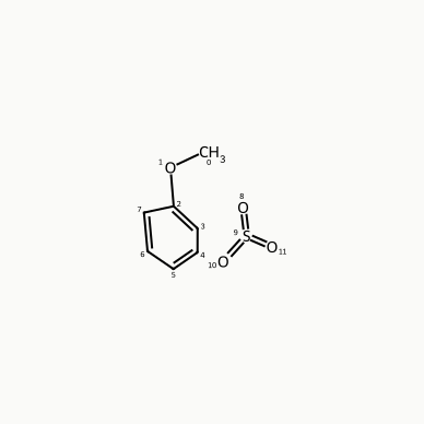 COc1ccccc1.O=S(=O)=O